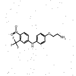 NCCOc1ccc(Nc2ccc([N+](=O)[O-])c(C(F)(F)F)c2)cc1